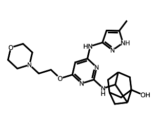 Cc1cc(Nc2cc(OCCN3CCOCC3)nc(NC3C4CC5CC3C(O)(C5)C4)n2)n[nH]1